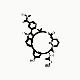 CCC(C)N(C)C(=O)c1cncc(-c2c3c4cc(ccc4n2CC)-c2cc(O)cc(c2)C[C@H](NC(=O)OC(C)(C)C)C(=O)N2CCC[C@H](N2)C(=O)OCC(C)(C)C3)c1